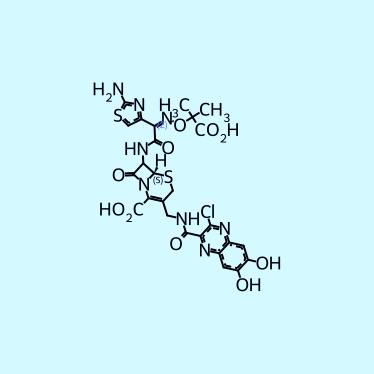 CC(C)(O/N=C(\C(=O)NC1C(=O)N2C(C(=O)O)=C(CNC(=O)c3nc4cc(O)c(O)cc4nc3Cl)CS[C@@H]12)c1csc(N)n1)C(=O)O